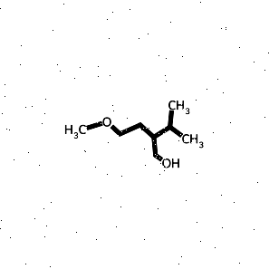 COCCC(CO)C(C)C